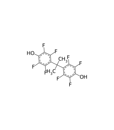 CC(C)(c1c(F)c(F)c(O)c(F)c1F)c1c(F)c(F)c(O)c(F)c1F